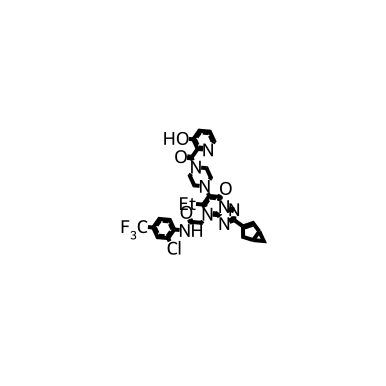 CCc1c(N2CCN(C(=O)c3ncccc3O)CC2)c(=O)n2nc(C3=CC4CC4C3)nc2n1CC(=O)Nc1ccc(C(F)(F)F)cc1Cl